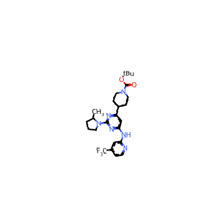 CC1CCCN1c1nc(Nc2cc(C(F)(F)F)ccn2)cc(C2CCN(C(=O)OC(C)(C)C)CC2)n1